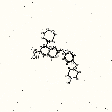 C[C@@H](O)c1cc2cnc(Nc3ccc(CN4CCN(C)CC4)cn3)nc2c(N2CCCOCC2)n1